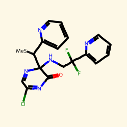 CSC(c1ccccn1)C1(NCC(F)(F)c2ccccn2)N=CC(Cl)=NC1=O